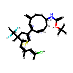 C=C1/C=C(/C(=C/S)CC(C)(C(=C)/C=C(C)\C=C(/C)Cl)C(C)(F)F)\C=C/CC(NC(=C)OC(C)(C)C)CC1